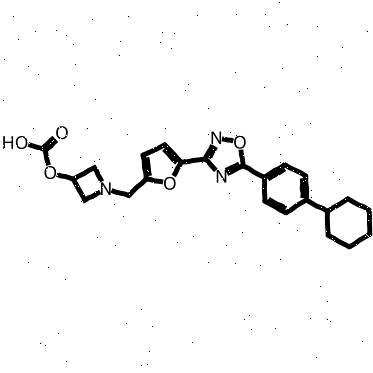 O=C(O)OC1CN(Cc2ccc(-c3noc(-c4ccc(C5CCCCC5)cc4)n3)o2)C1